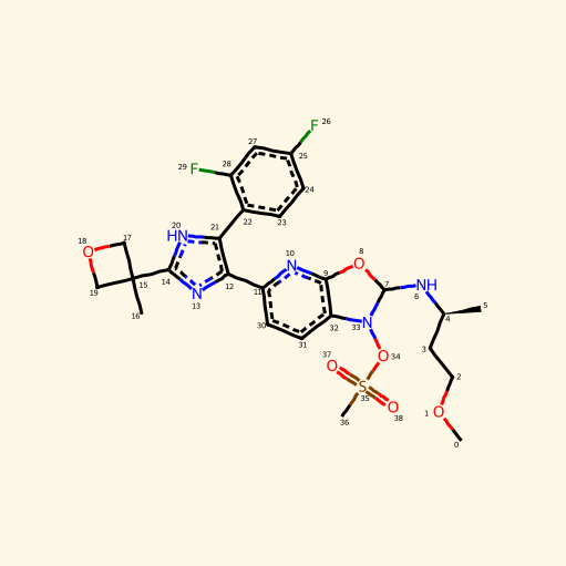 COCC[C@H](C)NC1Oc2nc(-c3nc(C4(C)COC4)[nH]c3-c3ccc(F)cc3F)ccc2N1OS(C)(=O)=O